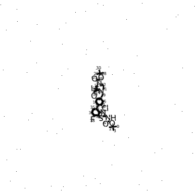 CC(C)(C)OC(=O)Nc1nc2c(-c3cc4c(cc3Cl)CN3CCN(C(=O)OC(C)(C)C)C[C@H]3CO4)ccc(F)c2s1